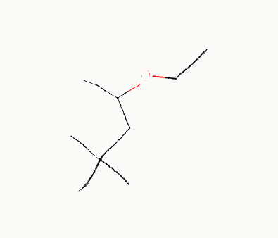 CCOC(C)CC(C)(C)C